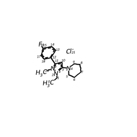 CC[n+]1c(N2CCCCC2)cc(-c2ccc(F)cc2)n1C.[Cl-]